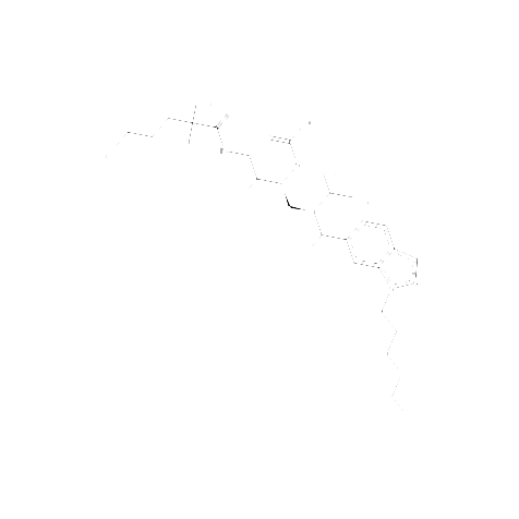 CCCCC(C)(C)C(=O)NCC(O)[C@H](C[C@@H](C(C)C)C(O)c1ccc2cnn(CCCOCC)c2c1)NC(=O)O